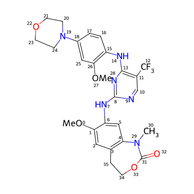 COc1cc2c(cc1Nc1ncc(C(F)(F)F)c(Nc3ccc(N4CCOCC4)cc3OC)n1)N(C)C(=O)OCC2